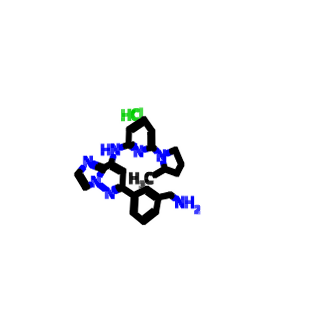 CC1CCCN1c1cccc(Nc2cc(-c3cccc(CN)c3)nn3ccnc23)n1.Cl